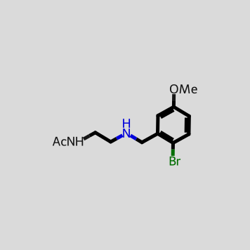 COc1ccc(Br)c(CNCCNC(C)=O)c1